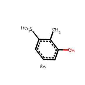 Cc1c(O)cccc1S(=O)(=O)O.[KH]